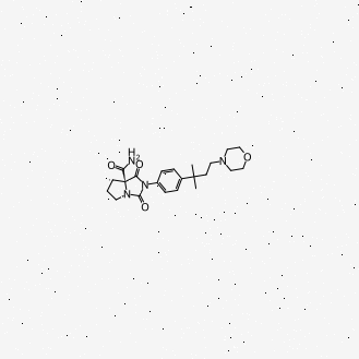 CC(C)(CCN1CCOCC1)c1ccc(N2C(=O)N3CC[CH][C@]3(C(N)=O)C2=O)cc1